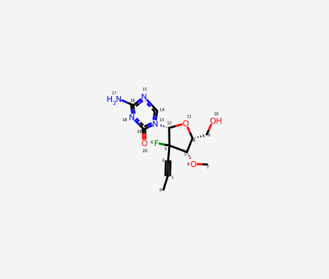 CC#CC1(F)[C@@H](OC)[C@@H](CO)O[C@H]1n1cnc(N)nc1=O